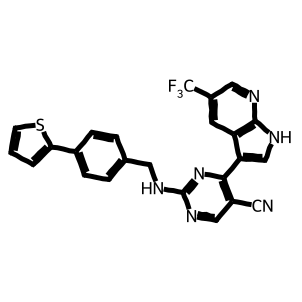 N#Cc1cnc(NCc2ccc(-c3cccs3)cc2)nc1-c1c[nH]c2ncc(C(F)(F)F)cc12